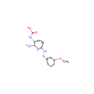 COc1cccc(CNc2ccc(NC(=O)O)c(N)n2)c1